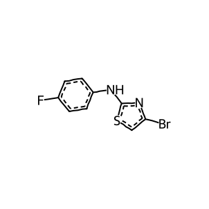 Fc1ccc(Nc2nc(Br)cs2)cc1